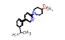 COC1CCN(c2ccc(-c3cccc(C(C)C)c3)cn2)CC1